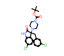 CC(C)(C)OC(=O)N1CCN(C2(Cc3cccc(Cl)c3)C(=O)Nc3cc(Cl)ccc32)CC1